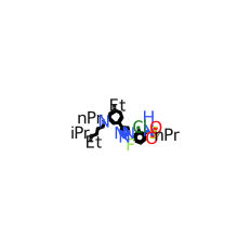 CCCN(CCCC(CC)C(C)C)C1=CC(c2cn(-c3c(F)ccc(NS(=O)(=O)CCC)c3Cl)nn2)=CCC(CC)=C1